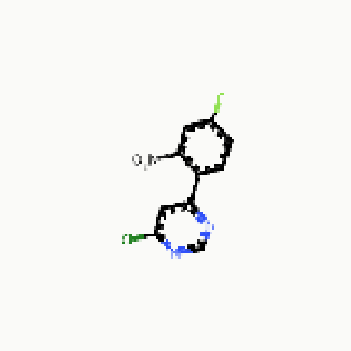 O=[N+]([O-])c1cc(F)ccc1-c1cc(Cl)ncn1